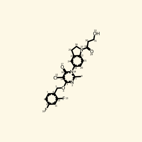 Cc1nc(OCc2ccc(F)cc2F)c(Cl)c(=O)n1-c1ccc2c(c1)CCN2C(=O)CCO